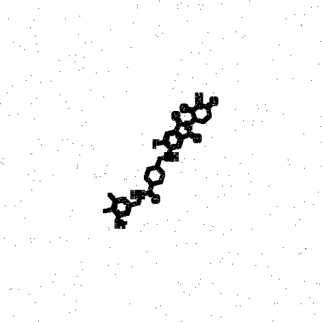 Cc1cc(CNC(=O)C2CCC(CNc3cc4c(cc3F)C(=O)N(C3CCC(=O)NC3=O)C4=O)CC2)cc(C(C)C)c1C